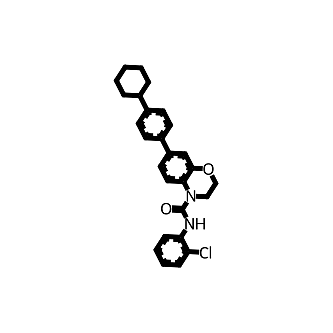 O=C(Nc1ccccc1Cl)N1CCOc2cc(-c3ccc(C4CCCCC4)cc3)ccc21